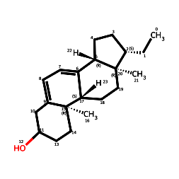 CC[C@H]1CC[C@H]2C3=CC=C4CC(O)CC[C@]4(C)[C@H]3CC[C@]12C